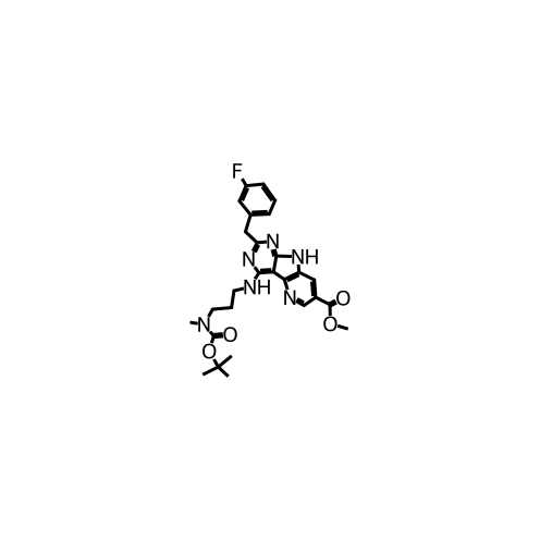 COC(=O)c1cnc2c(c1)[nH]c1nc(Cc3cccc(F)c3)nc(NCCCN(C)C(=O)OC(C)(C)C)c12